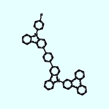 Fc1ccc(-n2c3ccccc3c3cc(-c4ccc(-c5ccc6c(c5)c5ccccc5n6-c5ccc6c7ccccc7c7ccccc7c6c5)cc4)ccc32)cc1